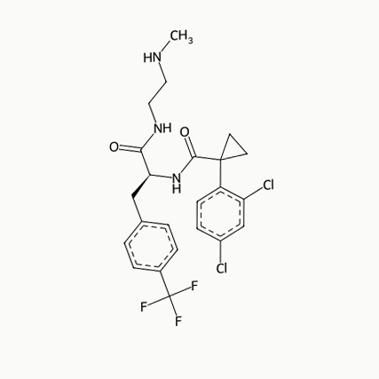 CNCCNC(=O)[C@H](Cc1ccc(C(F)(F)F)cc1)NC(=O)C1(c2ccc(Cl)cc2Cl)CC1